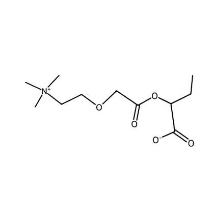 CCC(OC(=O)COCC[N+](C)(C)C)C(=O)[O-]